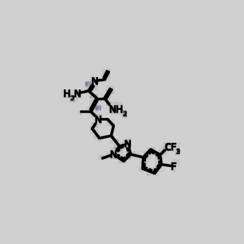 C=C/N=C(N)\C(C(=C)N)=C(/C)N1CCC(c2nc(-c3ccc(F)c(C(F)(F)F)c3)cn2C)CC1